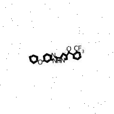 O=C(c1c[nH]c(-c2nc3ccc(Oc4ccccc4)cc3[nH]2)c1)c1ccccc1C(F)(F)F